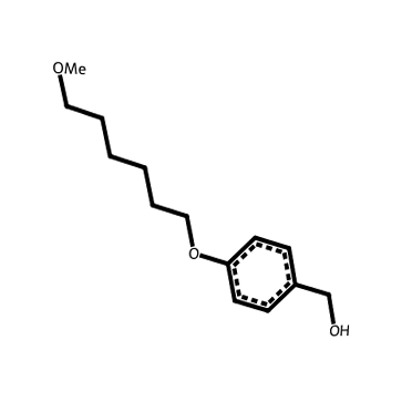 COCCCCCCOc1ccc(CO)cc1